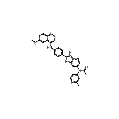 CC(=O)N(c1ccnc(C)c1)c1cnc2[nH]c(-c3ccc(Nc4ccnc5ccc(N(C)C)cc45)cc3)nc2c1